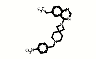 O=[N+]([O-])c1ccc(CN2CCC3(CC2)CN(c2ncnc4ccc(CC(F)(F)F)cc24)C3)cc1